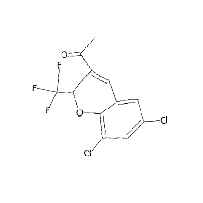 CC(=O)C1=Cc2cc(Cl)cc(Cl)c2OC1C(F)(F)F